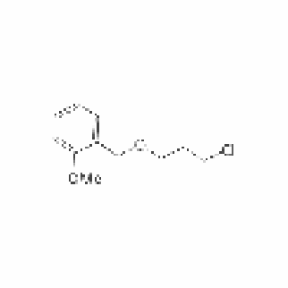 COc1ccccc1COCCCCl